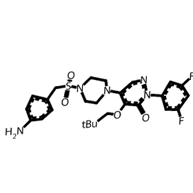 CC(C)(C)COc1c(N2CCN(S(=O)(=O)Cc3ccc(N)cc3)CC2)cnn(-c2cc(F)cc(F)c2)c1=O